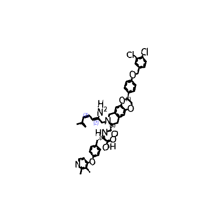 C=C(C)/C=C\C=C(/N)CN1Cc2cc3c(cc2C[C@H]1C(=O)N[C@@H](Cc1ccc(Oc2ccnc(C)c2C)cc1)C(=O)O)OC[C@H](c1ccc(OCc2ccc(Cl)c(Cl)c2)cc1)O3